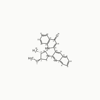 CO[C@@H]1CN(c2nc3ccccc3cc2-c2cc(=O)c3cnccc3[nH]2)C[C@H]1C